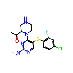 CC(=O)C1CNCCN1c1nc(N)ncc1Sc1ccc(Cl)cc1F